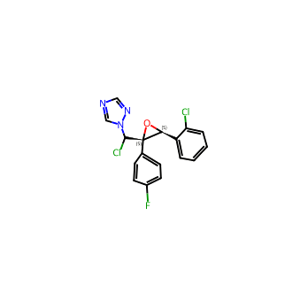 Fc1ccc([C@]2(C(Cl)n3cncn3)O[C@H]2c2ccccc2Cl)cc1